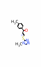 Cc1ccc(C(=O)/C=C/Sc2nncn2C)cc1